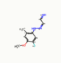 COc1cc(C)c(N/N=C\C=N)cc1F